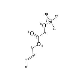 CC=CCOC(=O)CO[Si](C)(C)C